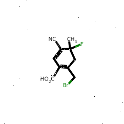 CC1(F)CC(CBr)=C(C(=O)O)C=C1C#N